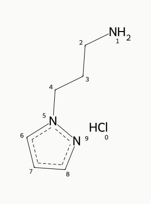 Cl.NCCCn1cccn1